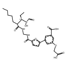 CCCCCC(C(=O)NCNC(=O)c1ccc(-c2cc(OCC(=O)O)cc(C(=O)O)c2)o1)[C@@H](CC)N(O)C=O